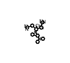 Cc1c(-c2cccc(-c3cncnc3)c2)cc(-n2c3ccccc3c3cc(N(c4ccccc4)c4ccccc4)ccc32)cc1-c1cccc(-c2cncnc2)c1